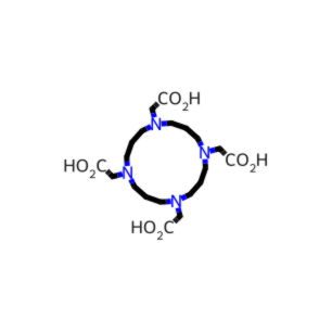 O=C(O)CN1CCCN(CC(=O)O)CCCN(CC(=O)O)CCCN(CC(=O)O)CCC1